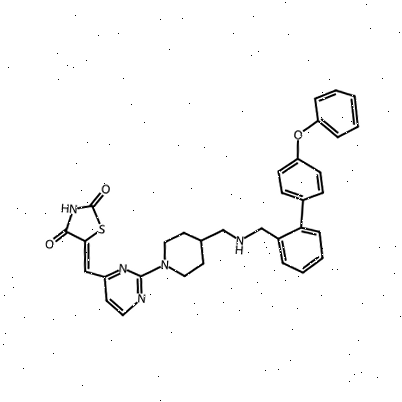 O=C1NC(=O)C(=Cc2ccnc(N3CCC(CNCc4ccccc4-c4ccc(Oc5ccccc5)cc4)CC3)n2)S1